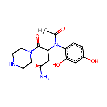 CC(=O)N(c1ccc(O)cc1O)[C@@H](CC(N)=O)C(=O)N1CCNCC1